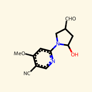 COc1cc(N2CC(C=O)CC2O)ncc1C#N